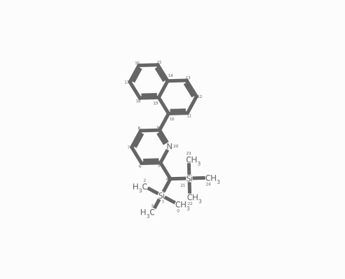 C[Si](C)(C)C(c1cccc(-c2cccc3ccccc23)n1)[Si](C)(C)C